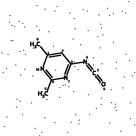 Cc1cc(N=C=O)nc(C)n1